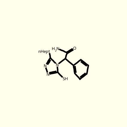 CCCCCCCc1nnc(S)n1C(C(N)=O)c1ccccc1